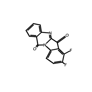 O=C1c2c(ccc(F)c2F)-n2c1nc1ccccc1c2=O